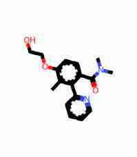 Cc1c(OCCO)ccc(C(=O)N(C)C)c1-c1ccccn1